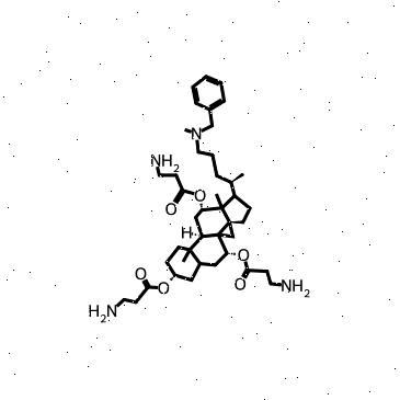 C[C@H](CCCN(C)Cc1ccccc1)C1CC[C@@]23CC24[C@H](C[C@H](OC(=O)CCN)C13C)C1(C)CC[C@@H](OC(=O)CCN)CC1C[C@H]4OC(=O)CCN